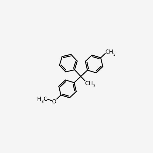 COc1ccc(C(C)(c2ccccc2)c2ccc(C)cc2)cc1